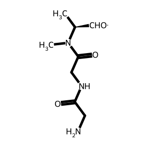 C[C@@H]([C]=O)N(C)C(=O)CNC(=O)CN